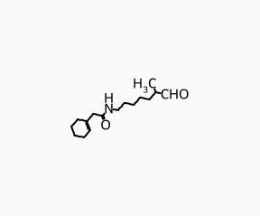 CC(C=O)CCCCCNC(=O)CC1=CCCCC1